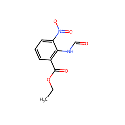 CCOC(=O)c1cccc([N+](=O)[O-])c1NC=O